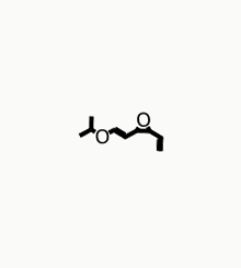 C=CC1OC1C=COC(C)C